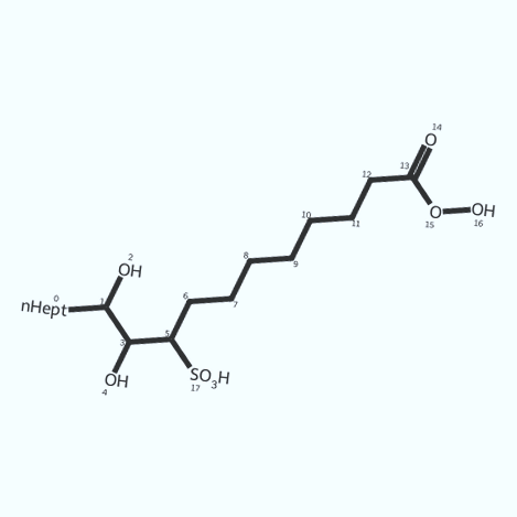 CCCCCCCC(O)C(O)C(CCCCCCCC(=O)OO)S(=O)(=O)O